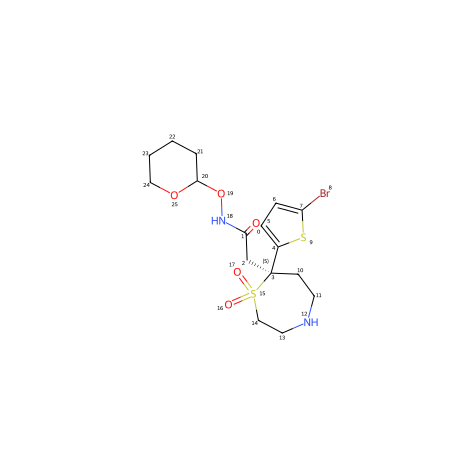 O=C(C[C@]1(c2ccc(Br)s2)CCNCCS1(=O)=O)NOC1CCCCO1